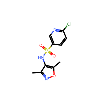 Cc1noc(C)c1NS(=O)(=O)c1ccc(Cl)nc1